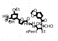 CCCCCC(C(=O)NCNC(=O)c1ccc(-c2cc(OCC)cc(P(=O)(O)O)c2)o1)C(CC)N(C=O)OC(=O)c1ccc2c(c1)OCCO2